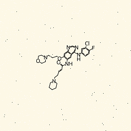 O=C(C=CCCN1CCCCC1)Nc1cc2c(Nc3ccc(F)c(Cl)c3)ncnc2cc1OCCCN1CCOCC1